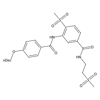 CCCCCCCCCCOc1ccc(C(=O)Nc2cc(C(=O)NCCS(C)(=O)=O)ccc2S(C)(=O)=O)cc1